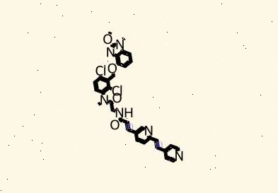 COc1nc2c(OCc3c(Cl)ccc(N(C)C(=O)CNC(=O)/C=C/c4ccc(/C=C/c5ccncc5)nc4)c3Cl)cccc2n1C